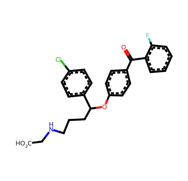 O=C(O)CNCCCC(Oc1ccc(C(=O)c2ccccc2F)cc1)c1ccc(Cl)cc1